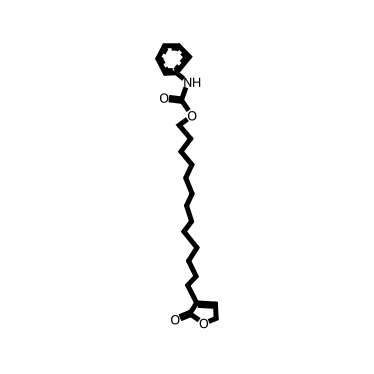 O=C(Nc1ccccc1)OCCCCCCCCCCCCCC1=CCOC1=O